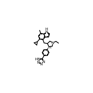 CCN1CC(Cc2c(C3CC3)cc(C)c3[nH]ccc23)[C@H](c2ccc(-c3nnn[nH]3)cc2)C1